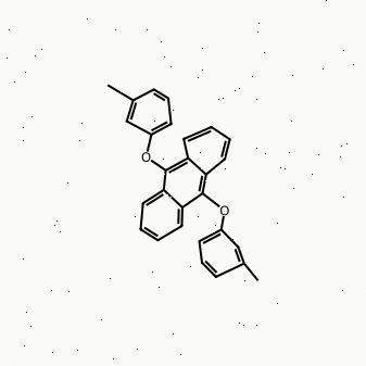 Cc1cccc(Oc2c3ccccc3c(Oc3cccc(C)c3)c3ccccc23)c1